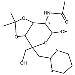 CC(=O)N[C@@H]1C(O)OC(CO)(CC2SCCCS2)C2OC(C)(C)OC21